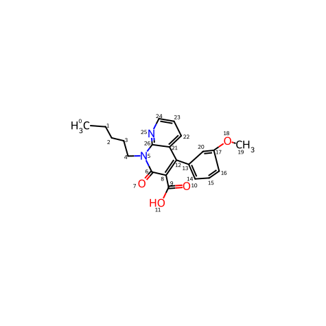 CCCCCn1c(=O)c(C(=O)O)c(-c2cccc(OC)c2)c2cccnc21